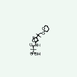 CC(C)(COC1CCCCO1)c1cc(NC(=O)C(C)(C)S(=O)O)on1